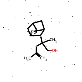 C=C(C)CC(C)(CO)C1CCC2CC1C2(C)C